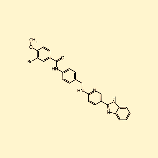 COc1ccc(C(=O)Nc2ccc(CNc3ccc(-c4nc5ccccc5[nH]4)cn3)cc2)cc1Br